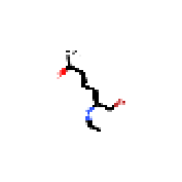 C\C=N/C(=C\C=C\C(=O)OC)CBr